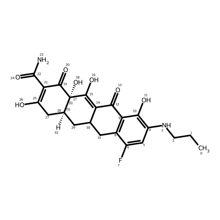 CCCNc1cc(F)c2c(c1O)C(=O)C1=C(O)[C@]3(O)C(=O)C(C(N)=O)=C(O)C[C@@H]3CC1C2